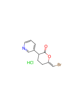 Cl.O=C1O/C(=C\Br)CCC1c1cccnc1